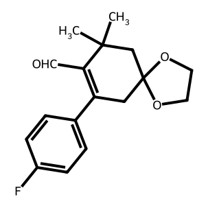 CC1(C)CC2(CC(c3ccc(F)cc3)=C1C=O)OCCO2